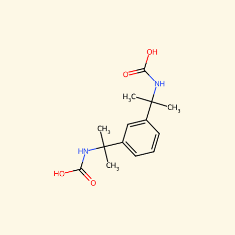 CC(C)(NC(=O)O)c1cccc(C(C)(C)NC(=O)O)c1